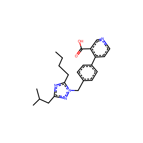 CCCCc1nc(CC(C)C)nn1Cc1ccc(-c2ccncc2C(=O)O)cc1